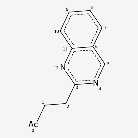 CC(=O)CCc1ncc2ccccc2n1